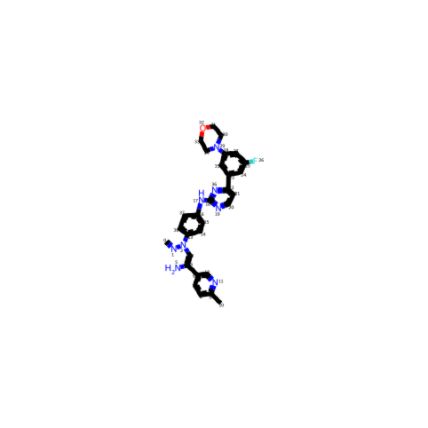 C=NN(/C=C(\N)c1ccc(C)nc1)c1ccc(Nc2nccc(-c3cc(F)cc(N4CCOCC4)c3)n2)cc1